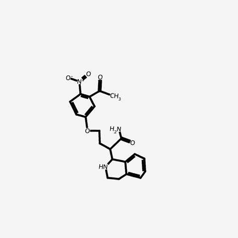 CC(=O)c1cc(OCCC(C(N)=O)C2NCCc3ccccc32)ccc1[N+](=O)[O-]